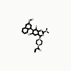 C=CC(=O)N1CCN(c2nc(N(C)C)nc3c(F)c(-c4cc(N=O)cc5ccccc45)c(Cl)cc23)CC1